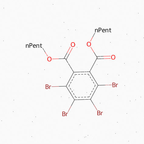 CCCCCOC(=O)c1c(Br)c(Br)c(Br)c(Br)c1C(=O)OCCCCC